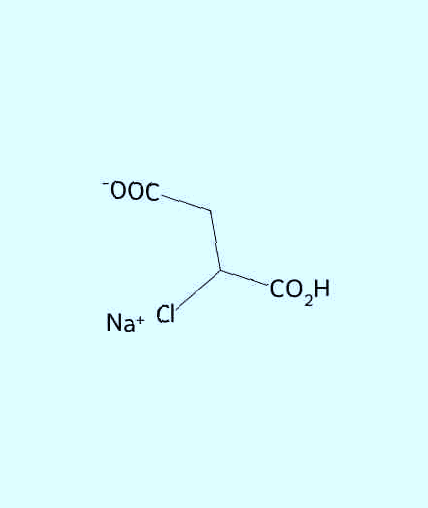 O=C([O-])CC(Cl)C(=O)O.[Na+]